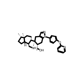 C[C@H]1CC[C@H]2[C@H](CN)[C@@H]([C@@]3(C)Cc4cnn(-c5ccc(Oc6ccccn6)cc5)c4C[C@@H]3CO)CC[C@]12C